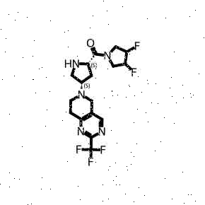 O=C([C@@H]1C[C@H](N2CCc3nc(C(F)(F)F)ncc3C2)CN1)N1CC(F)C(F)C1